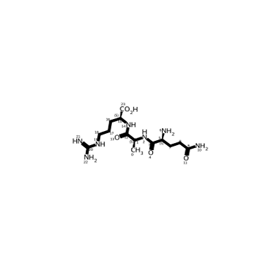 C[C@H](NC(=O)[C@@H](N)CCC(N)=O)C(=O)N[C@@H](CCCNC(=N)N)C(=O)O